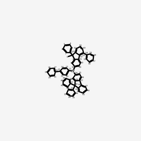 CC1(c2ccccc2)c2cc(N(c3ccc(-c4ccccc4)cc3)c3ccc4c(c3)C(c3ccccc3)(c3ccccc3)c3ccccc3-4)ccc2-c2c(-c3ccccc3)cccc21